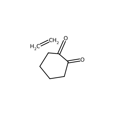 C=C.O=C1CCCCC1=O